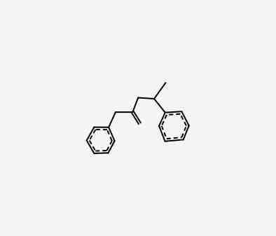 C=C(Cc1ccccc1)CC(C)c1ccccc1